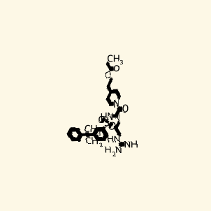 CCC(=O)OCCC1CCN(C(=O)[C@H](CCCNC(=N)N)NS(=O)(=O)c2cccc(C(C)(C)c3ccccc3)c2)CC1